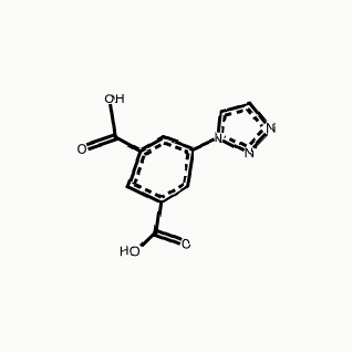 O=C(O)c1cc(C(=O)O)cc(-n2ccnn2)c1